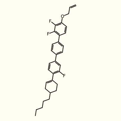 C=CCOc1ccc(-c2ccc(-c3ccc(C4=CCC(CCCCC)CC4)c(F)c3)cc2)c(F)c1F